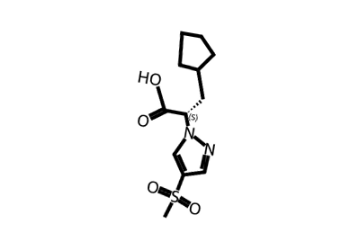 CS(=O)(=O)c1cnn([C@@H](CC2CCCC2)C(=O)O)c1